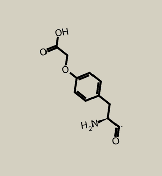 N[C@H]([C]=O)Cc1ccc(OCC(=O)O)cc1